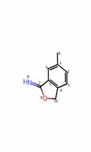 Cc1ccc2c(c1)C(=N)OC2